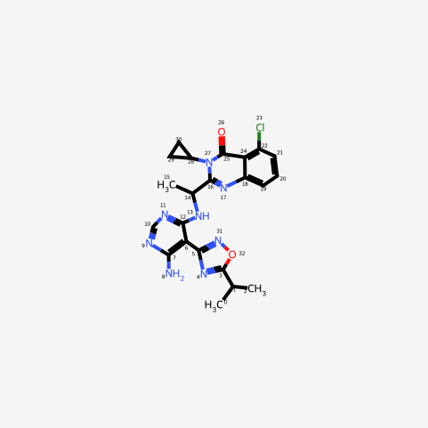 CC(C)c1nc(-c2c(N)ncnc2NC(C)c2nc3cccc(Cl)c3c(=O)n2C2CC2)no1